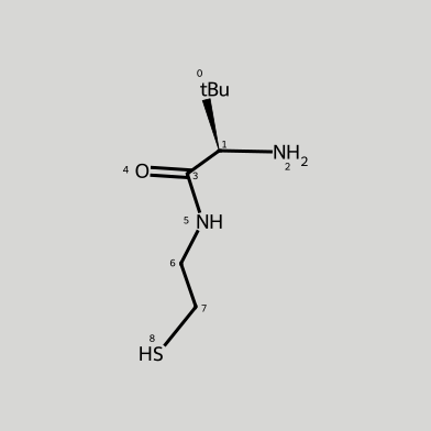 CC(C)(C)[C@@H](N)C(=O)NCCS